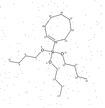 CCCCO[Si](OCCCC)(OCCCC)C1=CCCCCCC1